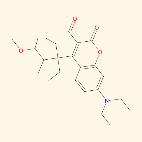 CCN(CC)c1ccc2c(C(CC)(CC)C(C)C(C)OC)c(C=O)c(=O)oc2c1